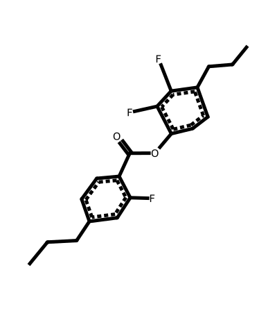 CCCc1ccc(C(=O)Oc2ccc(CCC)c(F)c2F)c(F)c1